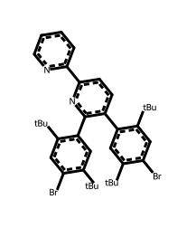 CC(C)(C)c1cc(-c2ccc(-c3ccccn3)nc2-c2cc(C(C)(C)C)c(Br)cc2C(C)(C)C)c(C(C)(C)C)cc1Br